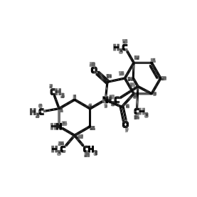 CC1(C)CC(N2C(=O)C3C4C=CC(C)(CC4(C)C)C3C2=O)CC(C)(C)N1